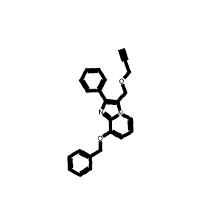 C#CCOCc1c(-c2ccccc2)nc2c(OCc3ccccc3)cccn12